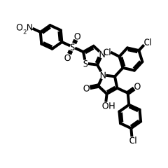 O=C(C1=C(O)C(=O)N(c2ncc(S(=O)(=O)c3ccc([N+](=O)[O-])cc3)s2)C1c1ccc(Cl)cc1Cl)c1ccc(Cl)cc1